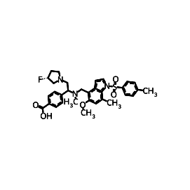 COc1cc(C)c2c(ccn2S(=O)(=O)c2ccc(C)cc2)c1CN(C)C(CN1CC[C@@H](F)C1)c1ccc(C(=O)O)cc1